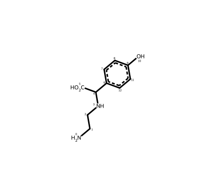 NCCNC(C(=O)O)c1ccc(O)cc1